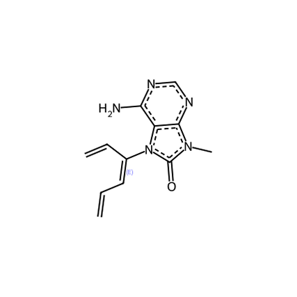 C=C/C=C(\C=C)n1c(=O)n(C)c2ncnc(N)c21